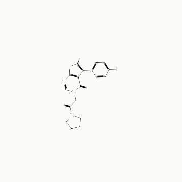 CCc1ccc(-c2c(C)sc3ncn(CC(=O)N4CCCC4)c(=O)c23)cc1